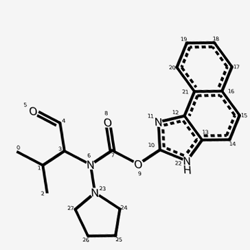 CC(C)C(C=O)N(C(=O)Oc1nc2c(ccc3ccccc32)[nH]1)N1CCCC1